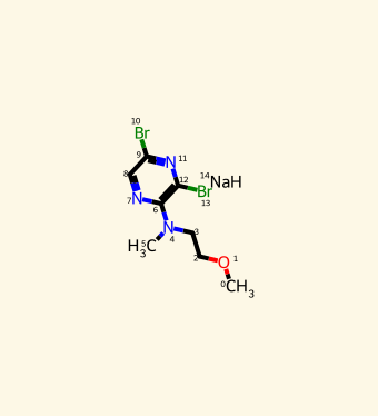 COCCN(C)c1ncc(Br)nc1Br.[NaH]